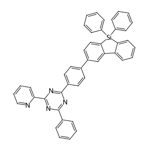 c1ccc(-c2nc(-c3ccc(-c4ccc5c(c4)-c4ccccc4[Si]5(c4ccccc4)c4ccccc4)cc3)nc(-c3ccccn3)n2)cc1